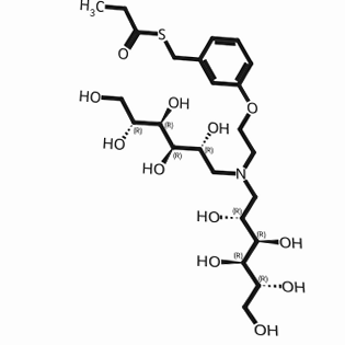 CCC(=O)SCc1cccc(OCCN(C[C@@H](O)[C@@H](O)[C@H](O)[C@H](O)CO)C[C@@H](O)[C@@H](O)[C@H](O)[C@H](O)CO)c1